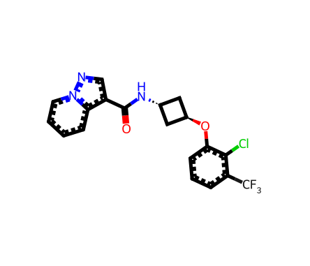 O=C(N[C@H]1C[C@H](Oc2cccc(C(F)(F)F)c2Cl)C1)c1cnn2ccccc12